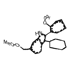 CCCOc1ccccc1-c1[nH]c2cc(COOC)ccc2c1C1CCCCC1